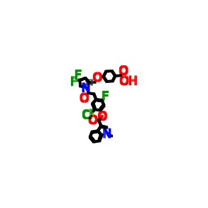 Cn1cc(C(=O)Oc2cc(F)c(CC(=O)N3CC(F)(F)C[C@H]3COC3CCC(C(=O)O)CC3)cc2Cl)c2ccccc21